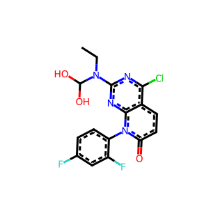 CCN(c1nc(Cl)c2ccc(=O)n(-c3ccc(F)cc3F)c2n1)C(O)O